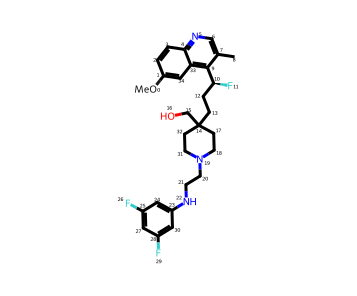 COc1ccc2ncc(C)c([C@@H](F)CCC3(CO)CCN(CCNc4cc(F)cc(F)c4)CC3)c2c1